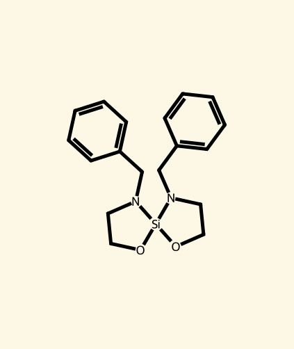 c1ccc(CN2CCO[Si]23OCCN3Cc2ccccc2)cc1